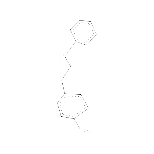 COc1ccc(CCNc2ccccc2)cc1